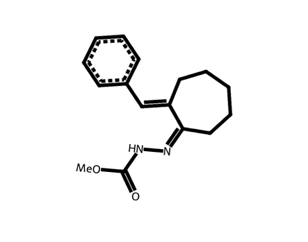 COC(=O)NN=C1CCCCCC1=Cc1ccccc1